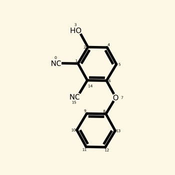 N#Cc1c(O)ccc(Oc2ccccc2)c1C#N